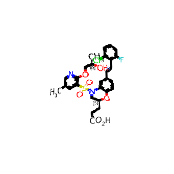 Cc1cnc(OC[C@@H](C)O)c(S(=O)(=O)N2C[C@H](CCC(=O)O)Oc3ccc(/C=C/c4c(F)cccc4Cl)cc32)c1